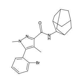 Cc1c(C(=O)NC2C3CC4CC(C3)CC2C4)nn(C)c1-c1ccccc1Br